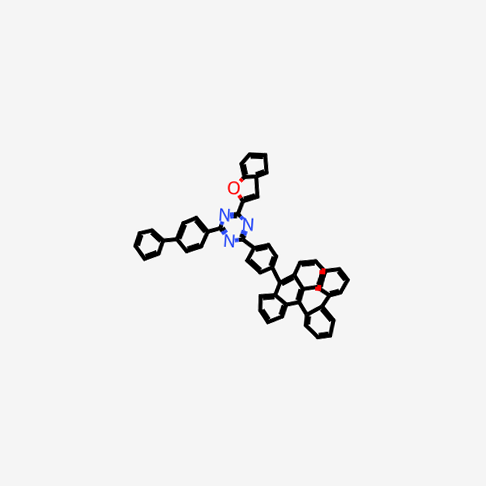 c1ccc(-c2ccc(-c3nc(-c4ccc(-c5c6ccccc6c(-c6ccccc6-c6ccccc6)c6ccccc56)cc4)nc(-c4cc5ccccc5o4)n3)cc2)cc1